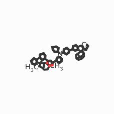 CC1CCC2CC(C1)C1(c3ccccc3-c3cccc(-c4cccc(-c5cccc(N(c6ccccc6)c6ccc(-c7ccc8c(c7)C7(c9ccccc9-8)C8CC9CC(C8)CC7C9)cc6)c5)c4)c31)C2C